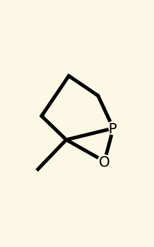 CC12CCCP1O2